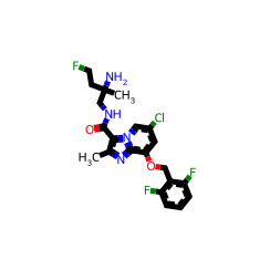 Cc1nc2c(OCc3c(F)cccc3F)cc(Cl)cn2c1C(=O)NCC(C)(N)CCF